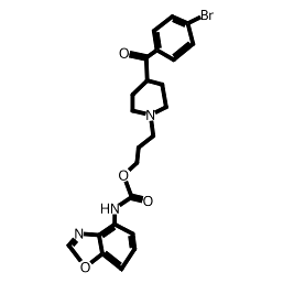 O=C(Nc1cccc2ocnc12)OCCCN1CCC(C(=O)c2ccc(Br)cc2)CC1